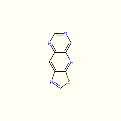 c1ncc2nc3scnc3cc2n1